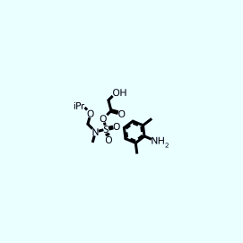 CC(C)OCN(C)S(=O)(=O)OC(=O)CO.Cc1cccc(C)c1N